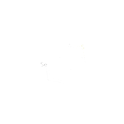 c1cc2cscc2[se]1